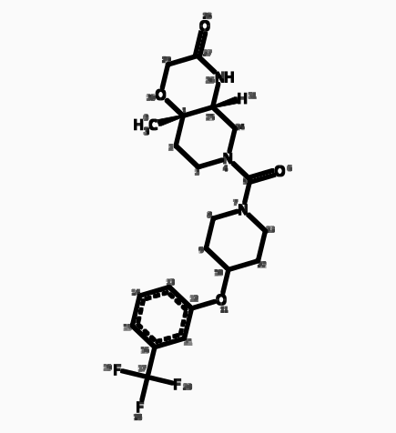 C[C@]12CCN(C(=O)N3CCC(Oc4cccc(C(F)(F)F)c4)CC3)C[C@H]1NC(=O)CO2